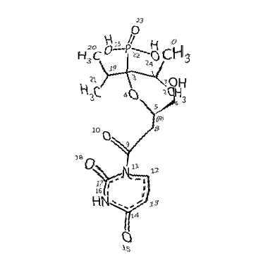 CC(C)C(O[C@@H](CO)CC(=O)n1ccc(=O)[nH]c1=O)(C(C)C)P(=O)(O)O